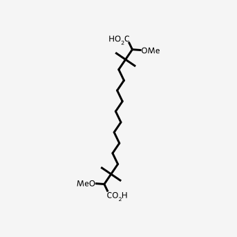 COC(C(=O)O)C(C)(C)CCCCCCCCCCC(C)(C)C(OC)C(=O)O